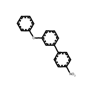 O=[N+]([O-])c1ccc(-c2[c]ccc(Oc3ccccc3)c2)cc1